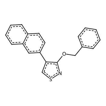 c1ccc(COc2nscc2-c2ccc3ccccc3c2)cc1